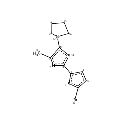 Cc1nc(-c2ccc(Br)s2)sc1N1CCCC1